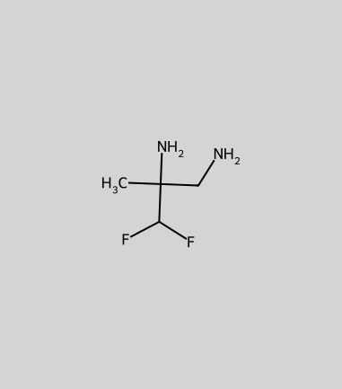 CC(N)(CN)C(F)F